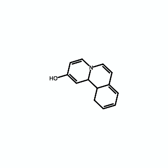 OC1=CC2C3CC=CC=C3C=CN2C=C1